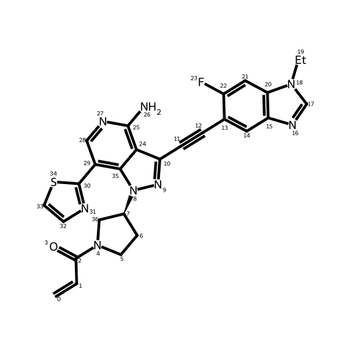 C=CC(=O)N1CC[C@H](n2nc(C#Cc3cc4ncn(CC)c4cc3F)c3c(N)ncc(-c4nccs4)c32)C1